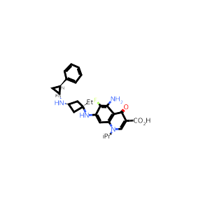 CC[C@]1(Nc2cc3c(c(N)c2F)c(=O)c(C(=O)O)cn3C(C)C)C[C@H](N[C@@H]2C[C@H]2c2ccccc2)C1